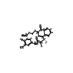 COCCCn1cc([C@H](C)N(C)C(=O)Nc2ccc(F)c(Cl)c2)c2ccccc2c1=O